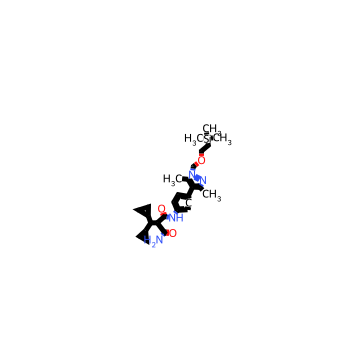 Cc1nn(COCC[Si](C)(C)C)c(C)c1-c1ccc(NC(=O)C(C(N)=O)C(C2CC2)C2CC2)cc1